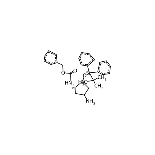 CC(C)(C)[Si](O[C@H]1CC(N)C[C@@H]1NC(=O)OCc1ccccc1)(c1ccccc1)c1ccccc1